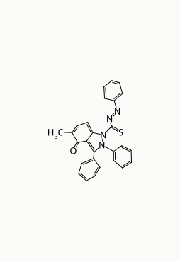 Cc1ccc2n(C(=S)N=Nc3ccccc3)n(-c3ccccc3)c(-c3ccccc3)c-2c1=O